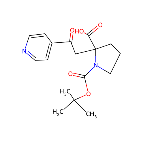 CC(C)(C)OC(=O)N1CCCC1(CC(=O)c1ccncc1)C(=O)O